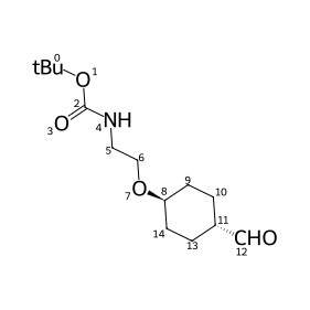 CC(C)(C)OC(=O)NCCO[C@H]1CC[C@H](C=O)CC1